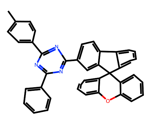 Cc1ccc(-c2nc(-c3ccccc3)nc(-c3ccc4c(c3)C3(c5ccccc5Oc5ccccc53)c3ccccc3-4)n2)cc1